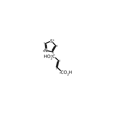 O=C(O)/C=C/C(=O)O.c1cscn1